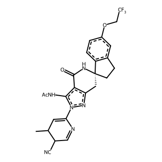 CC(=O)Nc1c2c(nn1C1=CC(C)C(C#N)C=N1)C[C@]1(CCc3cc(OCC(F)(F)F)ccc31)NC2=O